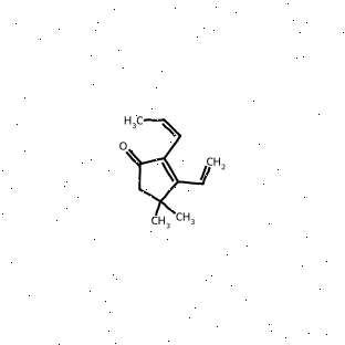 C=CC1=C(/C=C\C)C(=O)CC1(C)C